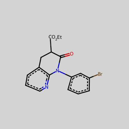 CCOC(=O)C1Cc2cccnc2N(c2cccc(Br)c2)C1=O